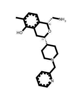 Cc1ccc2c(c1O)C[C@@H](C1CCN(Cc3ccccn3)CC1)O[C@H]2CN